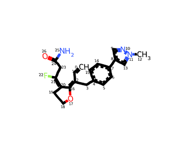 C=C/C(Cc1ccc(-c2cnn(C)c2)cc1)=C1/OCC/C1=C(\F)CC(N)=O